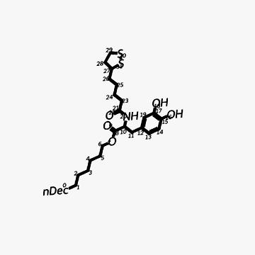 CCCCCCCCCCCCCCCCOC(=O)C(Cc1ccc(O)c(O)c1)NC(=O)CCCCC1CCSS1